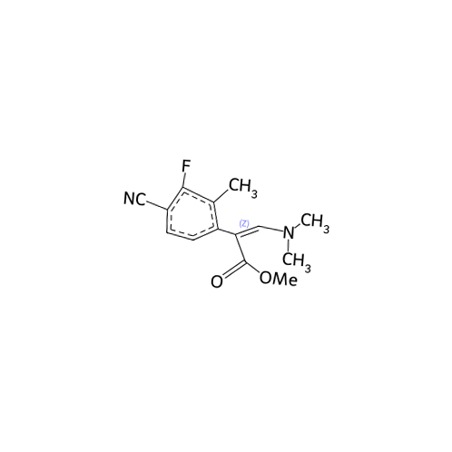 COC(=O)/C(=C\N(C)C)c1ccc(C#N)c(F)c1C